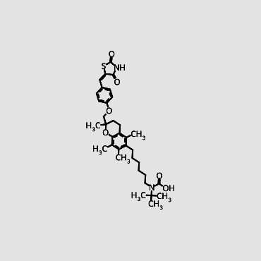 Cc1c(C)c2c(c(C)c1CCCCCCN(C(=O)O)C(C)(C)C)CCC(C)(COc1ccc(/C=C3/SC(=O)NC3=O)cc1)O2